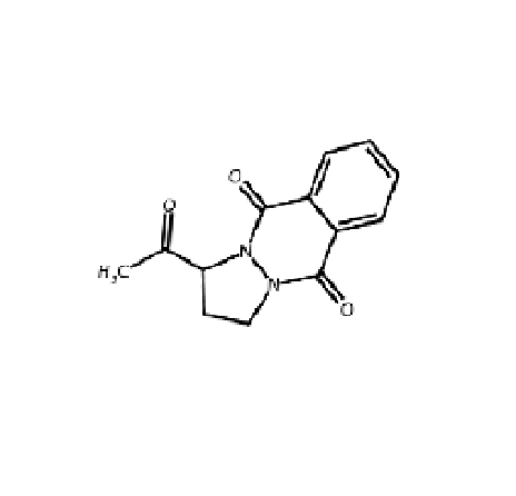 CC(=O)C1CCn2c(=O)c3ccccc3c(=O)n21